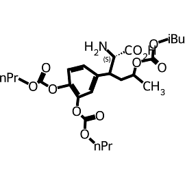 CCCOC(=O)Oc1ccc(C(CC(C)OC(=O)OC(C)CC)[C@H](N)C(=O)O)cc1OC(=O)OCCC